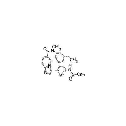 CCc1cccc(N(C)C(=O)c2ccc3ncc(-c4ccc(NC(=O)O)cc4)n3c2)c1